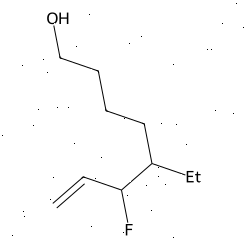 C=CC(F)C(CC)CCCCO